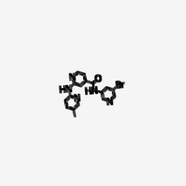 Cc1ccc(Nc2cc(C(=O)Nc3cncc(Br)c3)ccn2)nc1